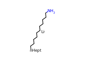 CCCCCCCCCCCCCCCCCCN.[Li]